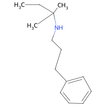 CCC(C)(C)NCCCc1ccccc1